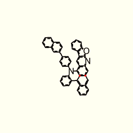 C1=c2ccccc2=C(c2ccccc2N(c2ccc(-c3ccc4ccccc4c3)cc2)c2cccc3nc4oc5ccccc5c4cc23)CC1